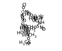 Cc1ncsc1-c1ccc([C@H](C)NC(=O)[C@@H]2C[C@@H](O)CN2C(=O)[C@@H](NC(=O)CN2CCC(CC(=O)N3CCN(CC4(C)CCC(c5ccc(Cl)cc5)=C(CN5CCN(c6ccc(C(=O)NS(=O)(=O)c7ccc(N[C@H](CCN8CCOCC8)CSc8ccccc8)c(CC(O)C(F)(F)F)c7)cc6)CC5)C4)CC3)CC2)C(C)(C)C)cc1